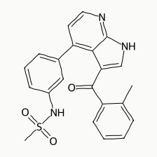 Cc1ccccc1C(=O)c1c[nH]c2nccc(-c3cccc(NS(C)(=O)=O)c3)c12